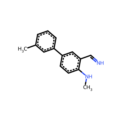 CNc1ccc(-c2cccc(C)c2)cc1C=N